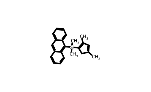 CC1=CC(C)=C([Si](C)(C)c2c3ccccc3cc3ccccc23)C1